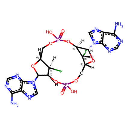 Nc1ncnc2c1ncn2C1O[C@@H]2COP(=O)(O)O[C@@H]3[C@H](F)[C@@H](COP(=O)(O)O[C@@H]1[C@@H]2F)O[C@H]3n1cnc2c(N)ncnc21